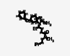 CCC(CCC(=O)N(C)CCC(C)C)n1c(N)nc2ccc(Oc3ccccc3)cc21